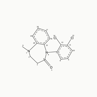 CN1CCC(=O)N(c2cccc(Cl)c2Cl)c2ccccc21